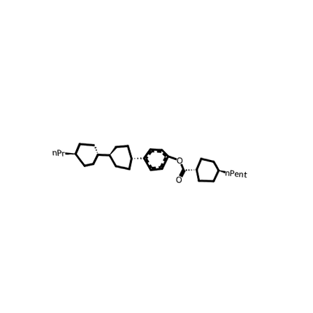 CCCCC[C@H]1CC[C@H](C(=O)Oc2ccc([C@H]3CC[C@H]([C@H]4CC[C@H](CCC)CC4)CC3)cc2)CC1